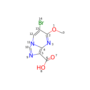 COc1nc2c(C(=O)O)ncn2cc1Br